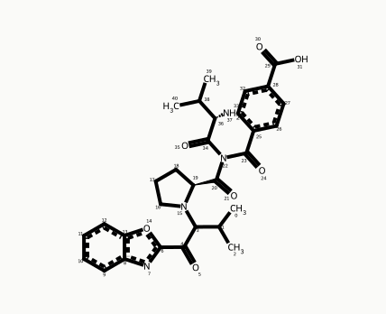 CC(C)C(C(=O)c1nc2ccccc2o1)N1CCC[C@H]1C(=O)N(C(=O)c1ccc(C(=O)O)cc1)C(=O)[C@@H](N)C(C)C